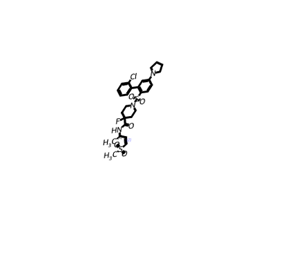 C[C@H](/C=C\S(C)(=O)=O)NC(=O)C1(F)CCN(S(=O)(=O)c2ccc(N3CCCC3)cc2-c2ccccc2Cl)CC1